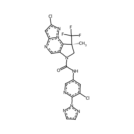 C[C@]1(C(F)(F)F)CN(C(=O)Nc2cnc(-n3nccn3)c(Cl)c2)c2cnc3cc(Cl)nn3c21